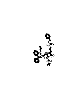 C=CCOC(=O)N(CCC(CNC(=O)OC(C)(C)C)NC(CCCNC(=O)OCc1ccccc1)C(=O)O)CC(c1ccccc1)c1ccccc1